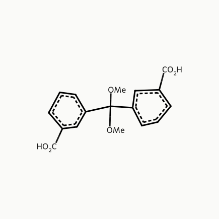 COC(OC)(c1cccc(C(=O)O)c1)c1cccc(C(=O)O)c1